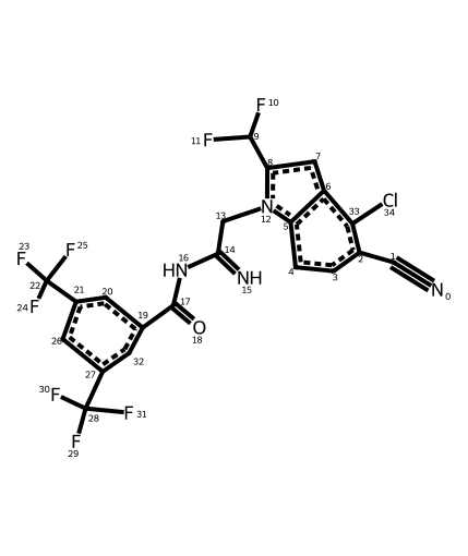 N#Cc1ccc2c(cc(C(F)F)n2CC(=N)NC(=O)c2cc(C(F)(F)F)cc(C(F)(F)F)c2)c1Cl